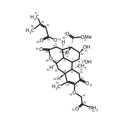 COC(=O)[C@@]12OC[C@]34C([C@@H](O)[C@@H]1O)[C@@]1(C)CC(=O)C(OCC(N)=O)=C(C)[C@@H]1C[C@H]3OC(=O)[C@H](OC(=O)C=C(C)C)[C@@H]24